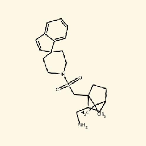 CC1(C)C2CCC1(CS(=O)(=O)N1CCC3(C=Cc4ccccc43)CC1)C(CN)C2